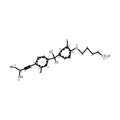 CCC(CC)(c1ccc(C#CC(O)C(C)(C)C)c(C)c1)c1ccc(OCCCCC(=O)O)c(C)c1